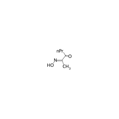 CCCC(=O)C(C)=NO